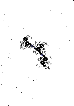 C=CCc1c(C)cc(C)c(-c2c(C)cc(C)c(C/C=C/CC(C)(C)c3cc(-c4c(O)cc(C)c(C)c4C)cc(C/C=C/C=C/Cc4cc(-c5cc(C)ccc5O)c(O)c(C(C)(C)C)c4O)c3O)c2O)c1O